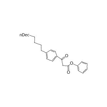 CCCCCCCCCCCCCCc1ccc(C(=O)CC(=O)Oc2ccccc2)cc1